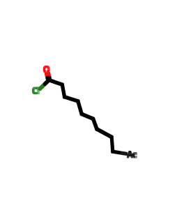 CC(=O)CCCCCCCCC(=O)Cl